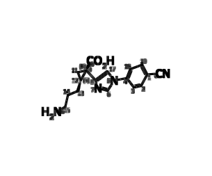 N#Cc1ccc(-n2cnc([C@@]3(C(=O)O)C[C@@H]3CCCN)c2)cc1